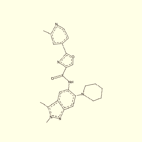 Cc1cc(-c2nc(C(=O)Nc3cc4c(C)n(C)nc4cc3N3CCCCC3)co2)ccn1